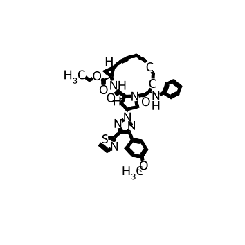 CCOC(=O)[C@@]12C[C@H]1/C=C\CCCCC[C@H](Nc1ccccc1)C(=O)N1C[C@H](n3nc(-c4ccc(OC)cc4)c(-c4nccs4)n3)C[C@H]1C(=O)N2